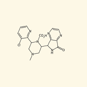 CN1CC(c2ncccc2Cl)N(C(=O)O)C(C2NC(=O)c3nccnc32)C1